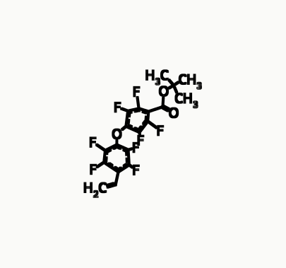 C=Cc1c(F)c(F)c(Oc2c(F)c(F)c(C(=O)OC(C)(C)C)c(F)c2F)c(F)c1F